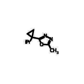 Cc1nnc(C2(C(C)C)CC2)o1